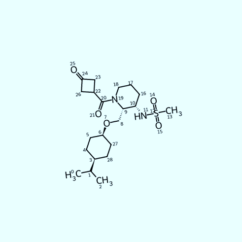 CC(C)[C@H]1CC[C@@H](OC[C@H]2[C@@H](NS(C)(=O)=O)CCCN2C(=O)C2CC(=O)C2)CC1